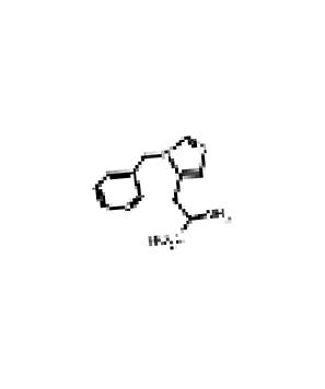 NC(Cc1cncn1Cc1ccccc1)C(=O)O